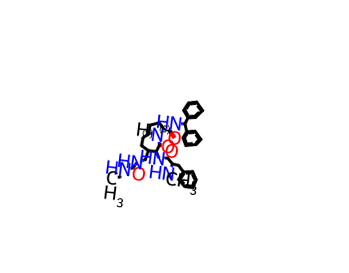 CCNC(=O)NCC1CC[C@H]2CC[C@@H](C(=O)NC(c3ccccc3)c3ccccc3)N2C(=O)C1NC(=O)C(Cc1ccccc1)NC